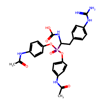 CC(=O)Nc1ccc(OP(=O)(Oc2ccc(NC(C)=O)cc2)C(Cc2ccc(NC(=N)N)cc2)NC(=O)O)cc1